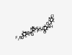 O=C(Cc1ccc(Cl)nc1)Nc1ccn(CCC(F)Cn2cc(C(=O)NCc3cccc(OC(F)(F)F)c3)nn2)c(=O)c1